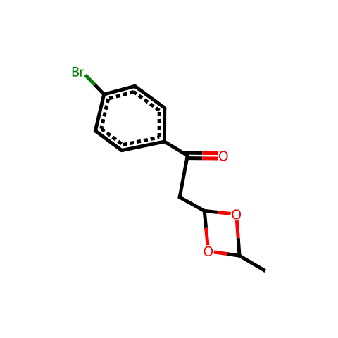 CC1OC(CC(=O)c2ccc(Br)cc2)O1